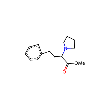 COC(=O)[C@@H](CCc1ccccc1)N1CCCC1